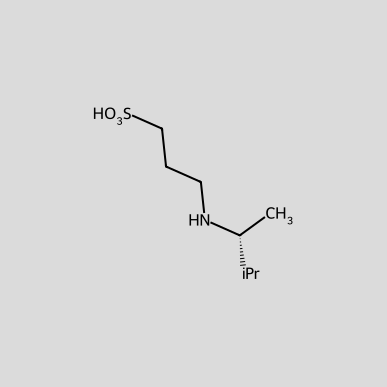 CC(C)[C@@H](C)NCCCS(=O)(=O)O